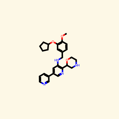 COc1ccc(CNc2cc(-c3cccnc3)cnc2C2CNCCO2)cc1OC1CCCC1